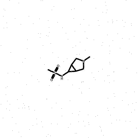 CN1CC2C(C1)C2NS(C)(=O)=O